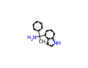 CC(N)(c1ccccc1)c1cccc2[nH]ccc12